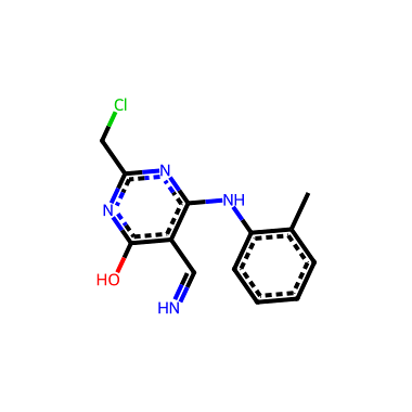 Cc1ccccc1Nc1nc(CCl)nc(O)c1C=N